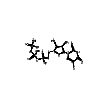 CC1C(O)[C@@H](COP(=O)(O)OP(=O)(O)OP(=O)(O)O)O[C@H]1n1cc(F)c(=S)[nH]c1=O